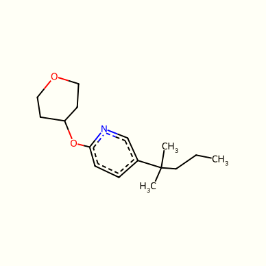 CCCC(C)(C)c1ccc(OC2CCOCC2)nc1